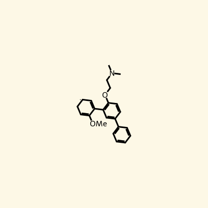 COC1=CC[CH]C=C1c1cc(-c2ccccc2)ccc1OCCN(C)C